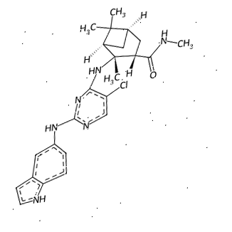 CNC(=O)[C@H]1C[C@H]2C[C@H](C2(C)C)[C@@]1(C)Nc1nc(Nc2ccc3[nH]ccc3c2)ncc1Cl